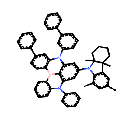 Cc1cc(C)c2c(c1)C1(C)CCCCC1(C)N2c1cc2c3c(c1)N(c1cccc(-c4ccccc4)c1)c1cc(-c4ccccc4)ccc1B3c1ccccc1N2c1ccccc1